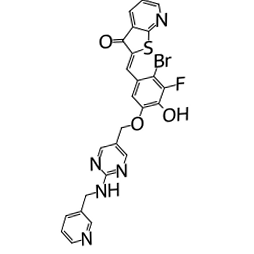 O=C1/C(=C/c2cc(OCc3cnc(NCc4cccnc4)nc3)c(O)c(F)c2Br)Sc2ncccc21